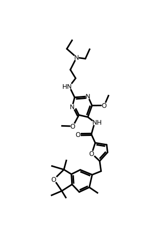 CCN(CC)CCNc1nc(OC)c(NC(=O)c2ccc(Cc3cc4c(cc3C)C(C)(C)OC4(C)C)o2)c(OC)n1